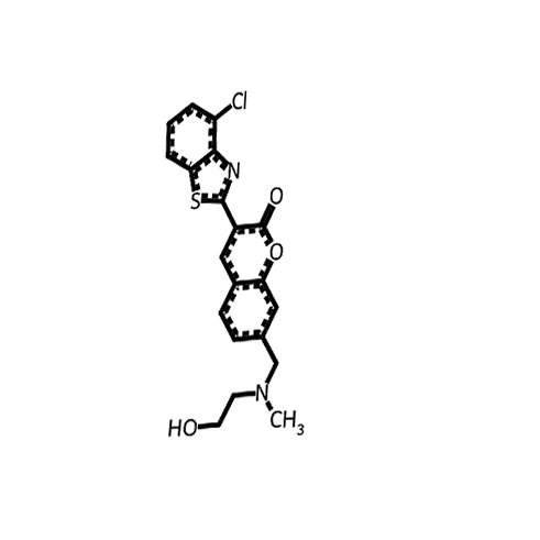 CN(CCO)Cc1ccc2cc(-c3nc4c(Cl)cccc4s3)c(=O)oc2c1